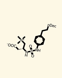 CCCCCCCCCCCCc1ccc(NS(=O)(=O)N[C@H](CC(=O)[O-])C[N+](C)(C)C)cc1